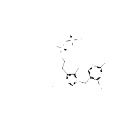 Cc1ncc(C[n+]2csc(CCOP(=O)(O)OP(=O)([O-])O)c2C)c(N)n1.O.O.O.O